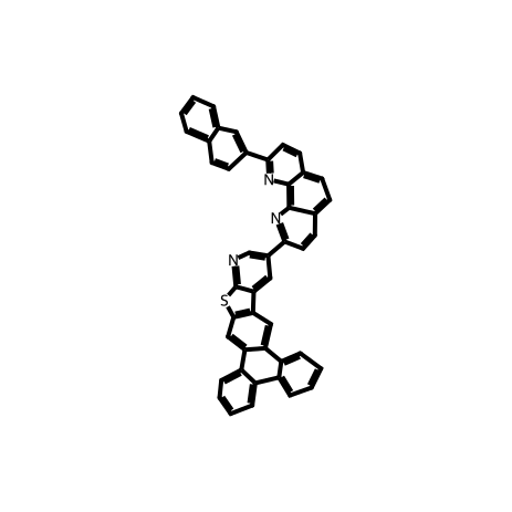 c1ccc2cc(-c3ccc4ccc5ccc(-c6cnc7sc8cc9c%10ccccc%10c%10ccccc%10c9cc8c7c6)nc5c4n3)ccc2c1